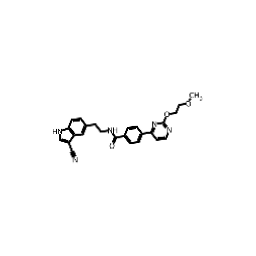 COCCOc1nccc(-c2ccc(C(=O)NCCc3ccc4[nH]cc(C#N)c4c3)cc2)n1